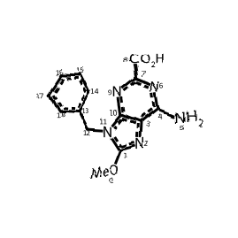 COc1nc2c(N)nc(C(=O)O)nc2n1Cc1ccccc1